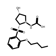 CCCCOc1ccccc1S(=O)(=O)[C@@H]1C[C@H](O)CN1NC(=O)O